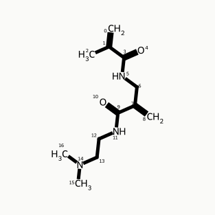 C=C(C)C(=O)NCC(=C)C(=O)NCCN(C)C